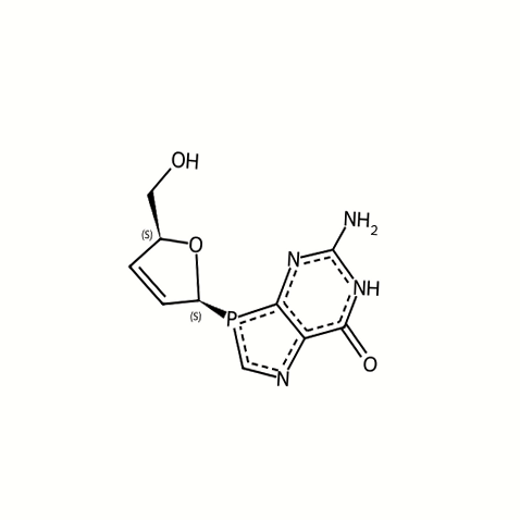 Nc1nc2c(ncp2[C@H]2C=C[C@@H](CO)O2)c(=O)[nH]1